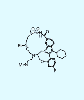 CCN1CCN(CCNC)C2COc3cc(F)ccc3-c3c(C4CCCCC4)c4ccc(cc4n3C2)C(=O)NS(=O)(=O)N(C)CC1